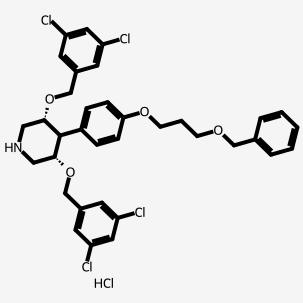 Cl.Clc1cc(Cl)cc(CO[C@H]2CNC[C@@H](OCc3cc(Cl)cc(Cl)c3)C2c2ccc(OCCCOCc3ccccc3)cc2)c1